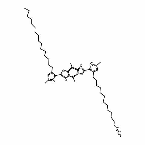 CCCCCCCCCCCCCCCCc1cc(C)sc1-c1cc2c(C)c3sc(-c4sc(C)cc4CCCCCCCCCCCCCCCC)cc3c(C)c2s1